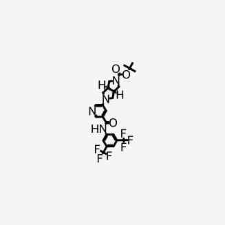 CC(C)(C)OC(=O)N1C[C@@H]2CN(c3cncc(C(=O)Nc4cc(C(F)(F)F)cc(C(F)(F)F)c4)c3)C[C@@H]2C1